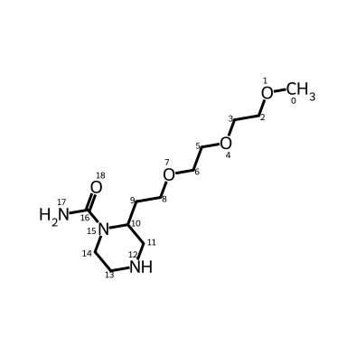 COCCOCCOCCC1CNCCN1C(N)=O